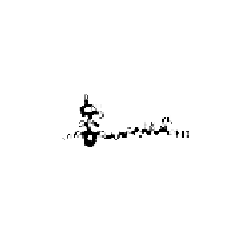 CN(C(=O)c1c(C=O)cccc1OCCOCCOCCOCCN(N)/C=C(\N)C=O)C1CCC(=O)NC1=O